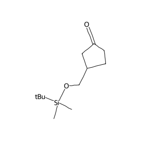 CC(C)(C)[Si](C)(C)OCC1CCC(=O)C1